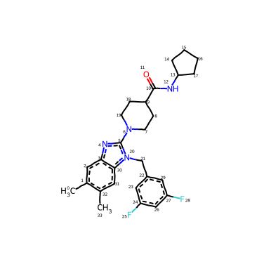 Cc1cc2nc(N3CCC(C(=O)NC4CCCC4)CC3)n(Cc3cc(F)cc(F)c3)c2cc1C